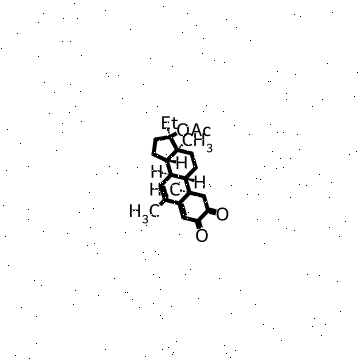 CC[C@@]1(OC(C)=O)CC[C@H]2[C@@H]3C=C(C)C4=CC(=O)C(=O)C[C@]4(C)[C@H]3CC[C@@]21C